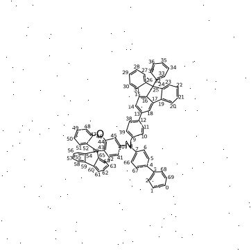 c1ccc(-c2ccc(N(c3ccc(-c4ccc5c(c4)-c4ccccc4C5(c4ccccc4)c4ccccc4)cc3)c3ccc4c(c3)Oc3ccccc3C43c4ccccc4-c4ccccc43)cc2)cc1